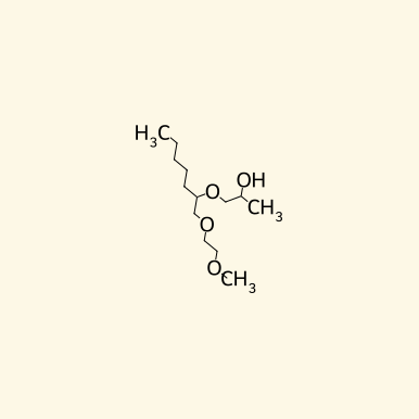 CCCCCC(COCCOC)OCC(C)O